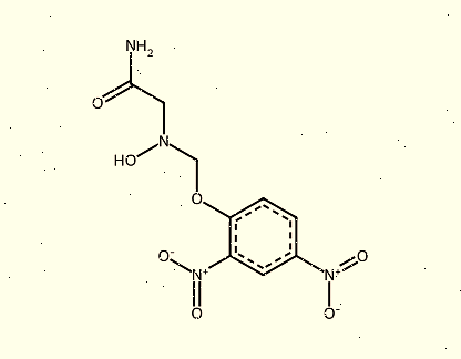 NC(=O)CN(O)COc1ccc([N+](=O)[O-])cc1[N+](=O)[O-]